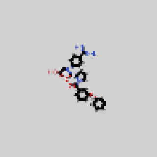 N=C(N)c1ccc(N(CC(=O)O)C(=O)[C@@H]2CCCN2C(=O)c2cccc(Oc3ccccc3)c2)cc1